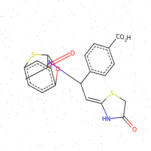 O=C1CS/C(=C\C(c2ccc(C(=O)O)cc2)N2C(=O)C3Oc4ccc(cc42)S3)N1